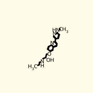 CCCNC[C@@H](O)COc1ccc2nc(-c3ccc(NC)nc3)ccc2c1